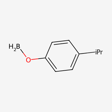 BOc1ccc(C(C)C)cc1